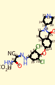 N#CC(=NNc1cc(Cl)c(Oc2ccc3c(c2)CCN(c2ccncc2)C3=O)c(Cl)c1)C(=O)NC(=O)O